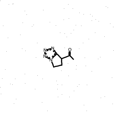 CC(=O)C1CCn2nnnc21